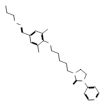 CCCON=Cc1cc(C)c(OCCCCCN2CCN(c3ccncc3)C2=O)c(C)c1